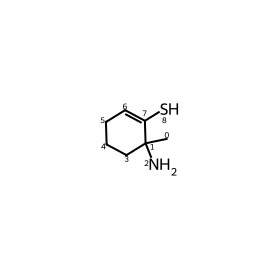 CC1(N)CCCC=C1S